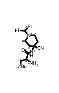 CCC(CC)N1CCC(C#N)(NC(=O)C(N)CC(C)(C)C)CC1